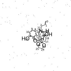 C=CCN1CC[C@]23c4c5ccc(O)c4O[C@H]2C2(CC[C@@]3(O)[C@H]1C5)OCCO2